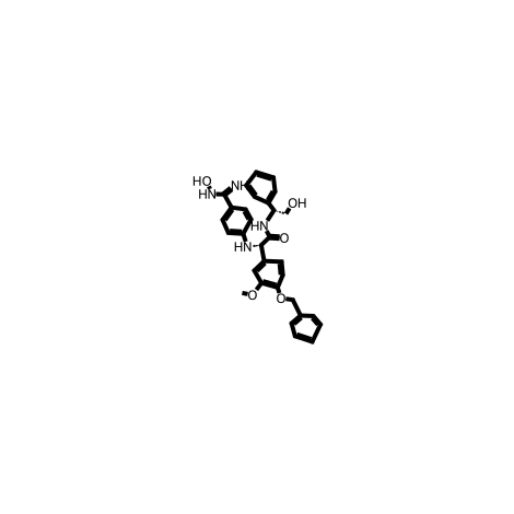 COc1cc([C@H](Nc2ccc(C(=N)NO)cc2)C(=O)N[C@@H](CO)c2ccccc2)ccc1OCc1ccccc1